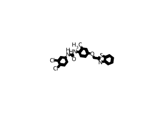 Cc1cc(OCc2nc3ccccc3s2)ccc1NC(=O)NC1C=C(Cl)C(Cl)=CC1